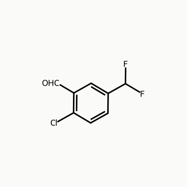 O=Cc1cc(C(F)F)ccc1Cl